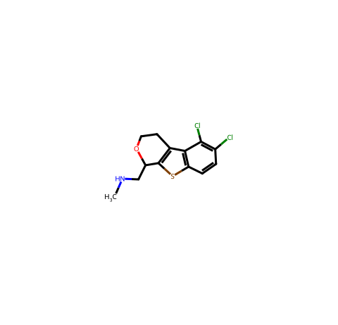 CNCC1OCCc2c1sc1ccc(Cl)c(Cl)c21